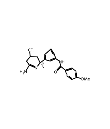 COc1cnc(C(=O)Nc2cccc([C@]3(C)CC(C(F)(F)F)CC(N)=N3)c2)cn1